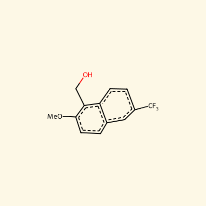 COc1ccc2cc(C(F)(F)F)ccc2c1CO